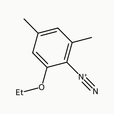 CCOc1cc(C)cc(C)c1[N+]#N